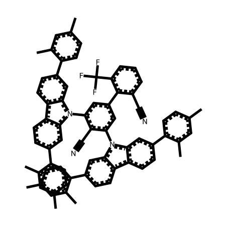 Cc1ccc(-c2ccc3c4ccc(-c5ccc(C)cc5C)cc4n(-c4cc(-c5c(C#N)cccc5C(F)(F)F)cc(-n5c6cc(-c7ccc(C)cc7C)ccc6c6ccc(-c7ccc(C)cc7C)cc65)c4C#N)c3c2)c(C)c1